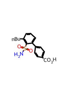 CCCCc1cccc(-c2ccc(C(=O)O)cc2)c1S(N)(=O)=O